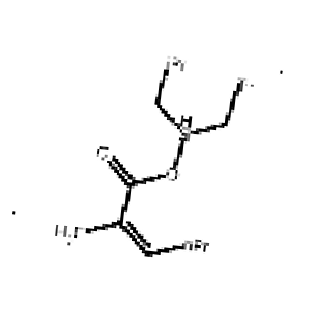 CCCC=C(C)C(=O)O[SiH](CC(C)C)CC(C)C